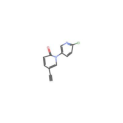 C#Cc1ccc(=O)n(-c2ccc(Cl)nc2)c1